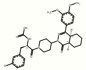 COc1ccc(C2=NN(C3CCN(C(=O)[C@@H](Cc4cccc(Cl)c4)NC(=O)O)CC3)C(=O)[C@@H]3CCCC[C@H]23)cc1OC